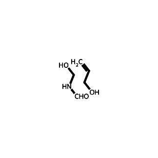 C=CCO.O=CNCO